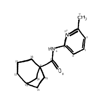 Cc1cccc(NC(=O)C23CCCC(CC2)C3)n1